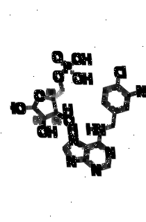 Nc1cc(CNc2ncnc3nc[nH]c23)ccc1Cl.O=P(O)(O)OC[C@H]1OC(O)[C@H](O)[C@@H]1O